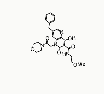 COCCNC(=O)c1c(O)c2ncc(Cc3ccccc3)cc2n(CC(=O)N2CCOCC2)c1=O